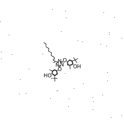 CCCCCCCCSc1nc(Oc2cc(C)c(O)c(C(C)(C)C)c2)nc(Oc2cc(C)c(O)c(C(C)(C)C)c2)n1